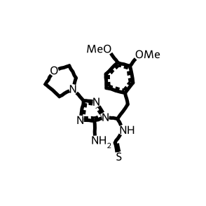 COc1ccc(CC(NC=S)n2nc(N3CCOCC3)nc2N)cc1OC